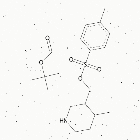 CC(C)(C)OC=O.Cc1ccc(S(=O)(=O)OCC2CNCCC2C)cc1